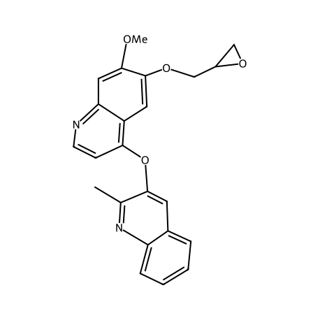 COc1cc2nccc(Oc3cc4ccccc4nc3C)c2cc1OCC1CO1